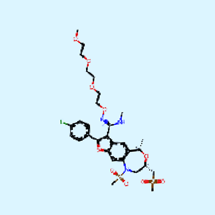 CN/C(=N\OCCOCCOCCOC)c1c(-c2ccc(F)cc2)oc2cc3c(cc12)[C@H](C)O[C@H](CS(C)(=O)=O)CN3S(C)(=O)=O